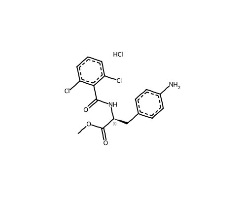 COC(=O)[C@H](Cc1ccc(N)cc1)NC(=O)c1c(Cl)cccc1Cl.Cl